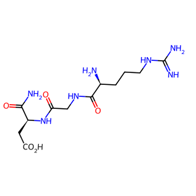 N=C(N)NCCC[C@H](N)C(=O)NCC(=O)N[C@@H](CC(=O)O)C(N)=O